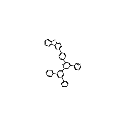 c1ccc(-c2cc(-c3ccccc3)cc(-c3cc(-c4cccnc4)cc(-c4ccc(-c5ccc6oc7ccccc7c6c5)cc4)n3)c2)cc1